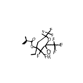 C=C(C)C(=O)OC1(CC)CC(C)(C(F)(F)F)OC(O)(C(F)(F)F)C1(F)F